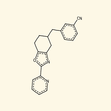 N#Cc1cccc(CC2CCc3oc(-c4ccccn4)nc3C2)c1